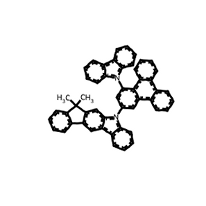 CC1(C)c2ccccc2-c2cc3c4ccccc4n(-c4cc(-n5c6ccccc6c6ccccc65)c5c6ccccc6c6ccccc6c5c4)c3cc21